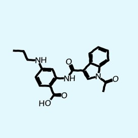 CCCNc1ccc(C(=O)O)c(NC(=O)c2cn(C(C)=O)c3ccccc23)c1